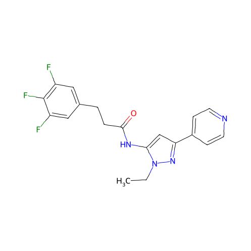 CCn1nc(-c2ccncc2)cc1NC(=O)CCc1cc(F)c(F)c(F)c1